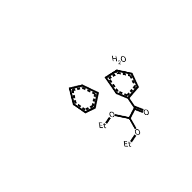 CCOC(OCC)C(=O)c1ccccc1.O.c1ccccc1